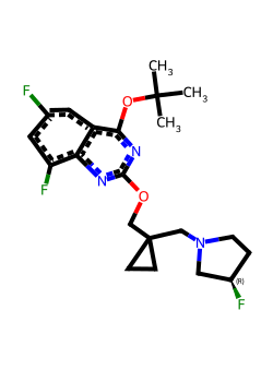 CC(C)(C)Oc1nc(OCC2(CN3CC[C@@H](F)C3)CC2)nc2c(F)cc(F)cc12